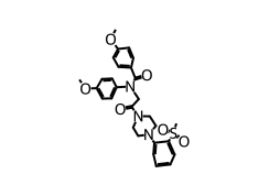 COc1ccc(C(=O)N(CC(=O)N2CCN(c3ccccc3S(C)(=O)=O)CC2)c2ccc(OC)cc2)cc1